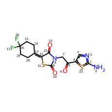 Nc1ncc(C(=O)CN2C(=O)SC(=C3CCC(F)(F)CC3)C2=O)s1